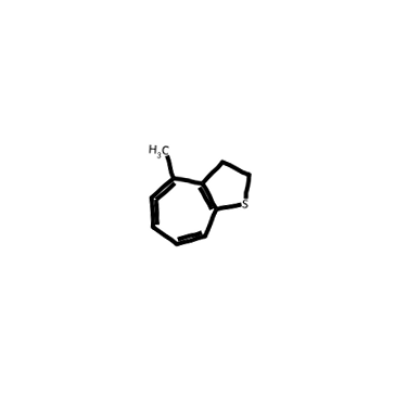 CC1=C=CC=CC2=C1CCS2